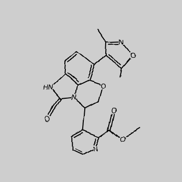 COC(=O)c1ncccc1C1COc2c(-c3c(C)noc3C)ccc3[nH]c(=O)n1c23